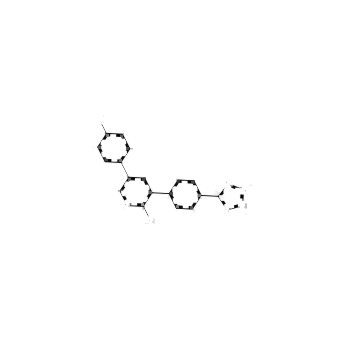 Nc1ncc(-c2ccc(F)cc2)cc1-c1ccc(-c2nn[nH]n2)cc1